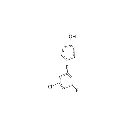 Fc1cc(F)cc(Cl)c1.Oc1ccccc1